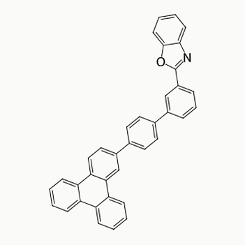 c1cc(-c2ccc(-c3ccc4c5ccccc5c5ccccc5c4c3)cc2)cc(-c2nc3ccccc3o2)c1